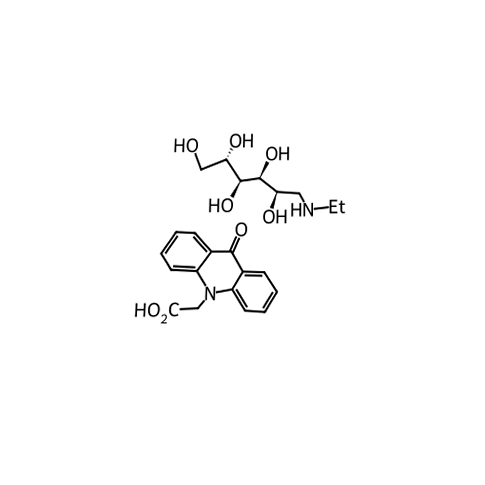 CCNC[C@@H](O)[C@H](O)[C@@H](O)[C@@H](O)CO.O=C(O)Cn1c2ccccc2c(=O)c2ccccc21